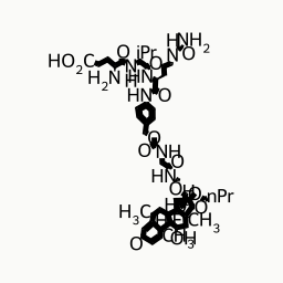 CCCC1O[C@@H]2C[C@H]3[C@@H]4C[C@H](C)C5=CC(=O)C=C[C@]5(C)[C@@]4(F)[C@@H](O)C[C@]3(C)[C@]2(C(=O)COCNC(=O)CNC(=O)OCc2ccc(NC(=O)[C@H](CCCNC(N)=O)NC(=O)[C@@H](NC(=O)[C@H](N)CCC(=O)O)C(C)C)cc2)O1